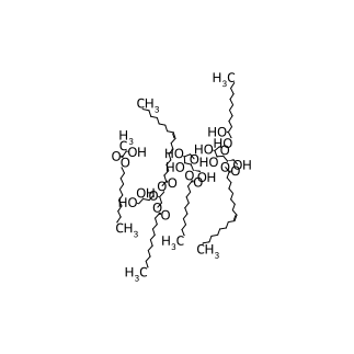 CCCCCCCC/C=C\CCCCCCCC(=O)OCC(COC(=O)CCCCCCCCCCC)OCC(O)CO.CCCCCCCC/C=C\CCCCCCCC(=O)O[C@H](CO)[C@H]1OC[C@H](O)[C@H]1O.CCCCCCCCCCC(O)CO.CCCCCCCCCCCC(=O)O[C@H](CO)[C@H]1OC[C@H](O)[C@H]1O.CCCCCCCCCCCCOC(=O)C(C)O